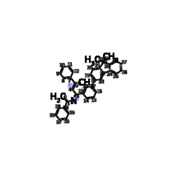 C=C(/N=C(\C=C(/C)c1ccccc1)c1cccc(-c2ccc3c(c2)-c2ccccc2C3(C)C)c1)c1ccccc1